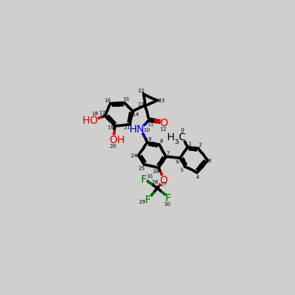 Cc1ccccc1-c1cc(NC(=O)C2(c3ccc(O)c(O)c3)CC2)ccc1OC(F)(F)F